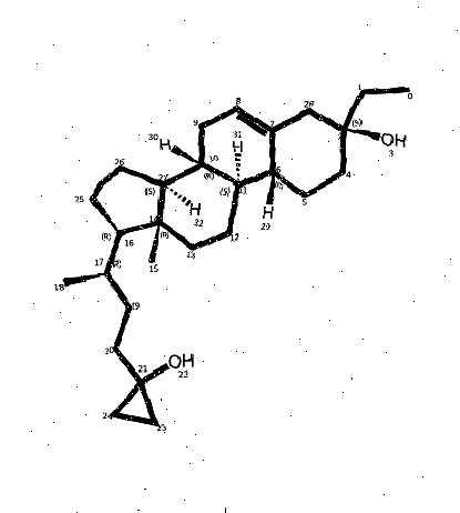 CC[C@]1(O)CC[C@H]2C(=CC[C@@H]3[C@@H]2CC[C@]2(C)[C@@H]([C@H](C)CCC4(O)CC4)CC[C@@H]32)C1